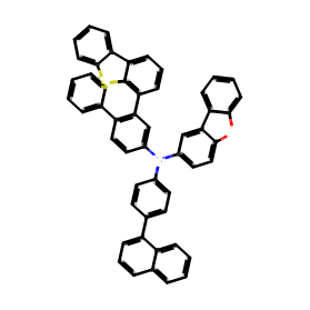 c1ccc(-c2ccc(N(c3ccc(-c4cccc5ccccc45)cc3)c3ccc4oc5ccccc5c4c3)cc2-c2cccc3c2sc2ccccc23)cc1